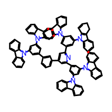 C1=Cc2c(c3ccccc3n2-c2cc(-c3cc(-c4cccc(-c5cc(-n6c7ccccc7c7ccccc76)cc(-n6c7ccccc7c7ccccc76)c5)c4)cc(-c4cc(-n5c6ccccc6c6ccccc65)cc(-n5c6ccccc6c6ccccc65)c4)n3)cc(-n3c4ccccc4c4ccccc43)c2)CC1